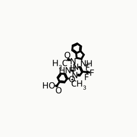 COc1cc(C(=O)O)ccc1Nc1ncc(C(F)(F)F)c(N[C@@H]2Cc3ccccc3[C@H]2NC(C)=O)n1